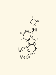 COc1nnc2sc3c(NC4CCC4)nccc3c2c1C